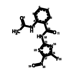 CC(=O)Nc1ccccc1C(=O)Nc1nc(F)c(N=O)s1